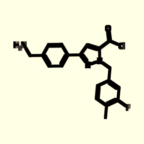 Cc1ccc(Cn2nc(-c3ccc(CN)cc3)cc2C(=O)Cl)cc1F